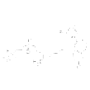 CN(CCCCCCC1=C(c2cc(F)cc(F)c2)CCCc2cc(O)ccc21)CCCS(=O)(=O)CCCC(F)(F)C(F)(F)F